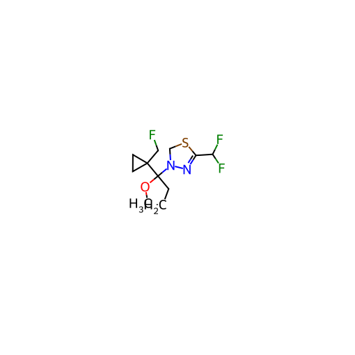 [CH2]CC(OC)(N1CSC(C(F)F)=N1)C1(CF)CC1